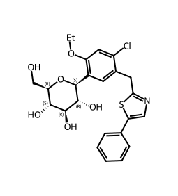 CCOc1cc(Cl)c(Cc2ncc(-c3ccccc3)s2)cc1[C@@H]1O[C@H](CO)[C@@H](O)[C@H](O)[C@H]1O